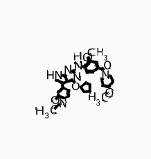 COc1cc(C(=O)N2CCC(OC)CC2)ccc1Nc1nc(OC2CCCC2)c2c(-c3ccc4nc(C)oc4c3)c[nH]c2n1